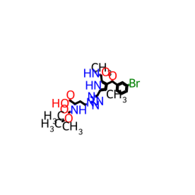 CNC(=O)c1[nH]c(-c2nnn(CCC(NC(=O)OC(C)(C)C)C(=O)O)n2)c(C)c1C(=O)c1cccc(Br)c1